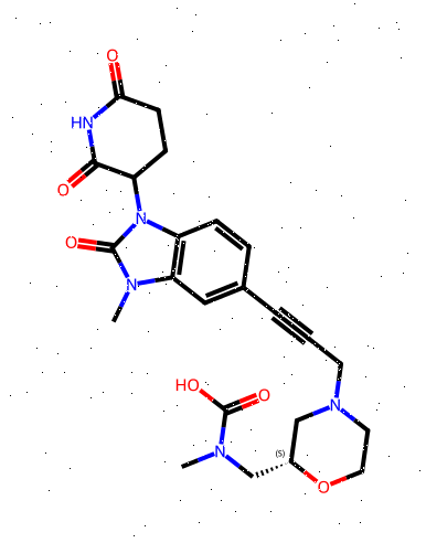 CN(C[C@@H]1CN(CC#Cc2ccc3c(c2)n(C)c(=O)n3C2CCC(=O)NC2=O)CCO1)C(=O)O